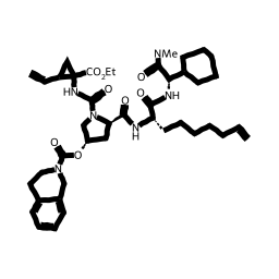 C=CCCCCC[C@H](NC(=O)[C@H]1C[C@H](OC(=O)N2CCc3ccccc3C2)CN1C(=O)NC1(C(=O)OCC)CC1C=C)C(=O)N[C@H](C(=O)NC)C1CCCCC1